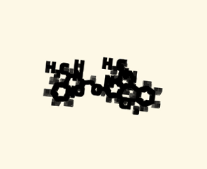 CC(NC(=O)COc1cc(C(F)(F)F)c2c(-c3ccccc3)nn(C)c2n1)c1ccccn1